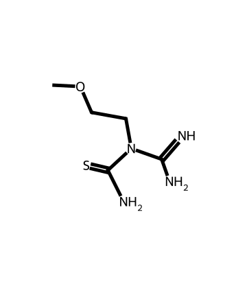 COCCN(C(=N)N)C(N)=S